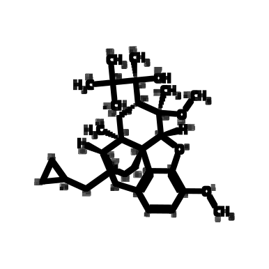 COc1ccc2c3c1O[C@H]1[C@](C)(OC)[C@@H]([C@](C)(O)C(C)(C)C)C[C@]4(C)[C@@H](C2)N(CC2CC2)CC[C@]314